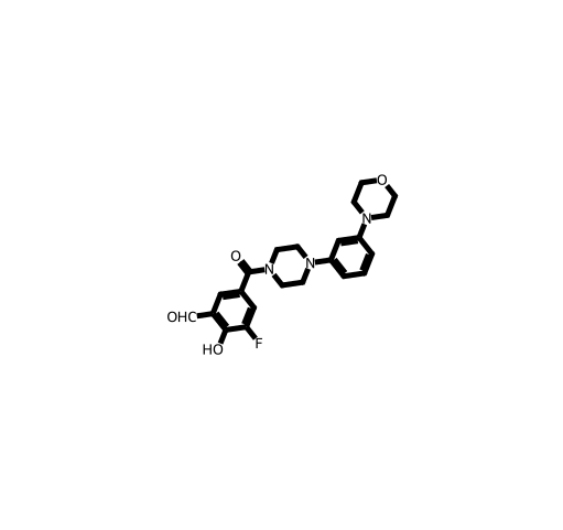 O=Cc1cc(C(=O)N2CCN(c3cccc(N4CCOCC4)c3)CC2)cc(F)c1O